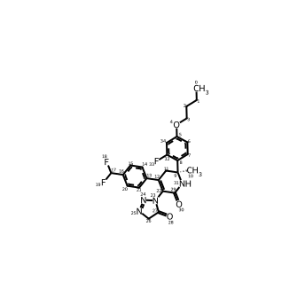 CCCCOc1ccc([C@]2(C)CC(c3ccc(C(F)F)cc3)=C(N3N=NCC3=O)C(=O)N2)c(F)c1